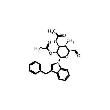 CC(=O)O[C@@H]1[C@@H](OC(C)=O)[C@H](C)[C@@H](C=O)O[C@H]1n1cc(Cc2ccccc2)c2ccccc21